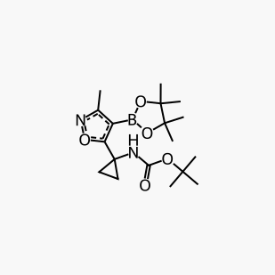 Cc1noc(C2(NC(=O)OC(C)(C)C)CC2)c1B1OC(C)(C)C(C)(C)O1